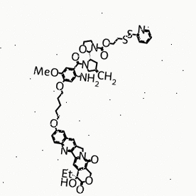 C=C1C[C@@H](C2OCCN2C(=O)OCCSSc2ccccn2)N(C(=O)c2cc(OC)c(OCCCCCOc3ccc4nc5c(cc4c3)Cn3c-5cc4c(c3=O)COC(=O)[C@]4(O)CC)cc2N)C1